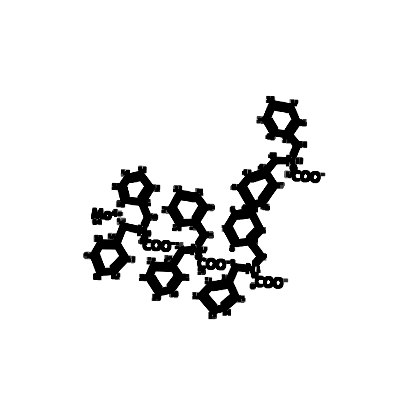 O=C([O-])N(Cc1ccccc1)Cc1ccccc1.O=C([O-])N(Cc1ccccc1)Cc1ccccc1.O=C([O-])N(Cc1ccccc1)Cc1ccccc1.O=C([O-])N(Cc1ccccc1)Cc1ccccc1.[Mo+4]